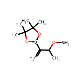 C=C(B1OC(C)(C)C(C)(C)O1)C(C)O[SiH3]